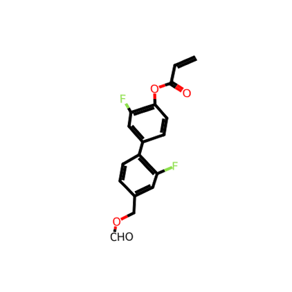 C=CC(=O)Oc1ccc(-c2ccc(COC=O)cc2F)cc1F